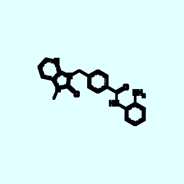 Cn1c(=O)n(Cc2ccc(C(=O)Nc3ccccc3N)cc2)c2ncccc21